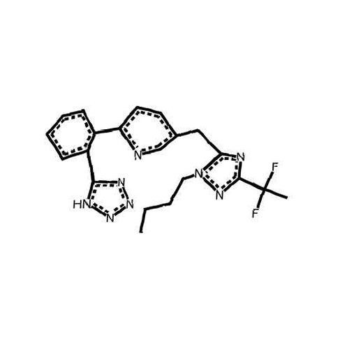 CCCCn1nc(C(C)(F)F)nc1Cc1ccc(-c2ccccc2-c2nnn[nH]2)nc1